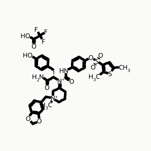 Cc1cc(S(=O)(=O)Oc2ccc(NC(=O)/[N+](=C3\CCC[N+](C)(Cc4ccc5c(c4)OCO5)C3)[C@@H](Cc3ccc(O)cc3)C(N)=O)cc2)c(C)s1.O=C(O)C(F)(F)F